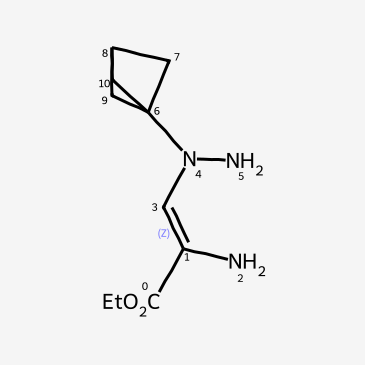 CCOC(=O)/C(N)=C/N(N)C12CC(C1)C2